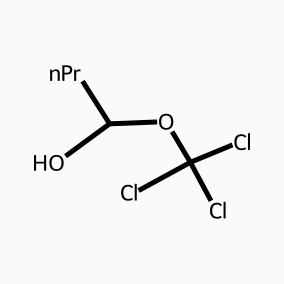 CCCC(O)OC(Cl)(Cl)Cl